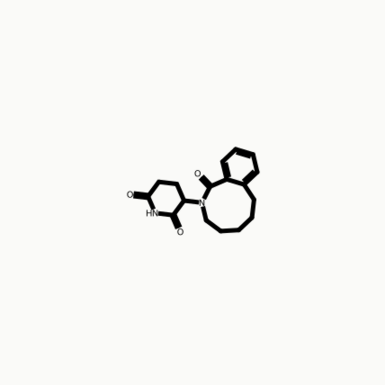 O=C1CCC(N2CCCCCc3ccccc3C2=O)C(=O)N1